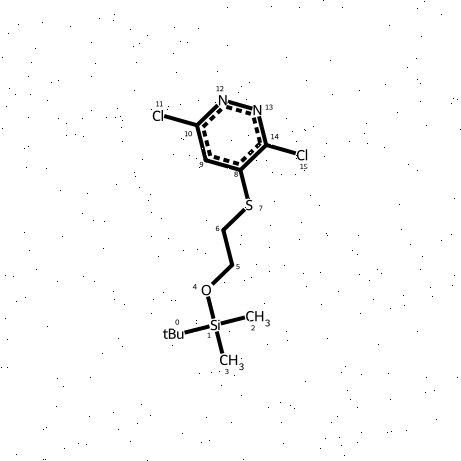 CC(C)(C)[Si](C)(C)OCCSc1cc(Cl)nnc1Cl